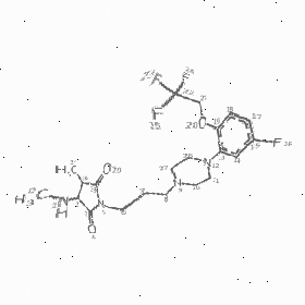 CNC1C(=O)N(CCCN2CCN(c3cc(F)ccc3OCC(F)(F)F)CC2)C(=O)C1C